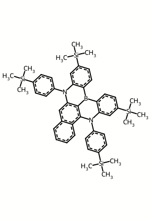 C[Si](C)(C)c1ccc(N2c3cc([Si](C)(C)C)ccc3B3c4ccc([Si](C)(C)C)cc4N(c4ccc([Si](C)(C)C)cc4)c4c3c2cc2ccccc42)cc1